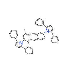 Cc1cc(-n2c(-c3ccccc3)ccc2-c2ccccc2)c(C)c2cc3ccc(-n4c(-c5ccccc5)ccc4-c4ccccc4)cc3cc12